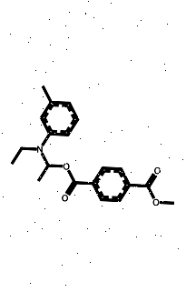 CCN(c1cccc(C)c1)C(C)OC(=O)c1ccc(C(=O)OC)cc1